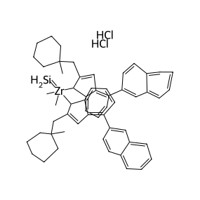 CC1(CC2=Cc3c(-c4ccc5ccccc5c4)cccc3[CH]2[Zr]([CH3])([CH3])(=[SiH2])[CH]2C(CC3(C)CCCCC3)=Cc3c(-c4ccc5ccccc5c4)cccc32)CCCCC1.Cl.Cl